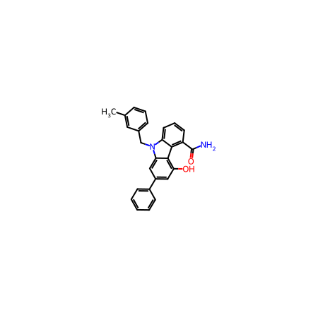 Cc1cccc(Cn2c3cc(-c4ccccc4)cc(O)c3c3c(C(N)=O)cccc32)c1